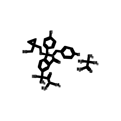 CC(C)(C)C(N)=O.CN(C)C(=O)C(C)(O)c1ccc2c(c1)C(=O)N(Cc1ccc(Cl)cc1)[C@@]2(OCC1(CO)CC1)c1ccc(Cl)cc1